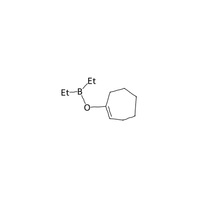 CCB(CC)OC1=CCCCCC1